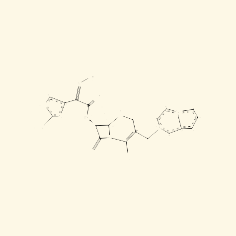 Nc1nc(/C(=N/O)C(=O)N[C@@H]2C(=O)N3C(C(=O)[O-])=C(Cn4cc[n+]5cccc-5c4)CS[C@H]23)cs1